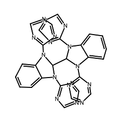 c1ccc2c(c1)N(c1ncncn1)C(C1N(c3ncncn3)c3ccccc3N1c1ncncn1)N2c1ncncn1